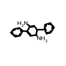 NC1=CC(c2ccccc2)C(N)C=C1c1ccccc1